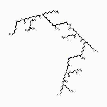 CCCCCC/C=C\COC(=O)CCCN(CCCC(=O)OC(CCCCCC)CCCCCCCC(C)CCCC/C=C\COC(=O)CCCN(CCCC(=O)OC(CCCCCC)CCCCCCC(C)CCCC/C=C\COC(=O)CCCN(CCCC(=O)OC(CCCCC)CCCCC)C(=O)SCCN(C)C)C(=O)SCCN(C)C)C(=O)SCCN(C)C